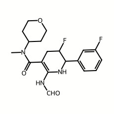 CN(C(=O)C1=C(NC=O)NC(c2cccc(F)c2)C(F)C1)C1CCOCC1